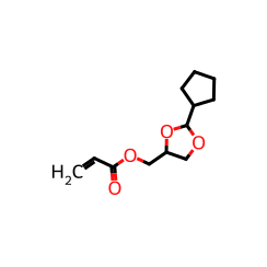 C=CC(=O)OCC1COC(C2CCCC2)O1